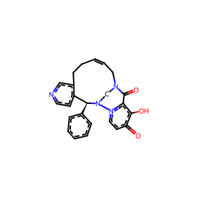 O=C1c2c(O)c(=O)ccn2N2CN1C/C=C\CCc1cnccc1[C@@H]2c1ccccc1